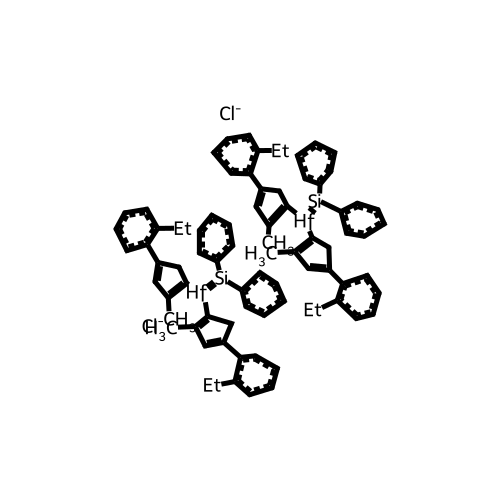 CCc1ccccc1C1=CC(C)=[C]([Hf]([C]2=C(C)C=C(c3ccccc3CC)C2)=[Si](c2ccccc2)c2ccccc2)C1.CCc1ccccc1C1=CC(C)=[C]([Hf]([C]2=C(C)C=C(c3ccccc3CC)C2)=[Si](c2ccccc2)c2ccccc2)C1.[Cl-].[Cl-]